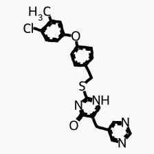 Cc1cc(Oc2ccc(CSc3nc(=O)c(Cc4cncnc4)c[nH]3)cc2)ccc1Cl